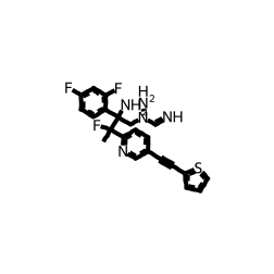 CC(F)(c1ccc(C#Cc2cccs2)cn1)C(N)(CN(N)C=N)c1ccc(F)cc1F